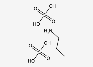 CCCN.O=S(=O)(O)O.O=S(=O)(O)O